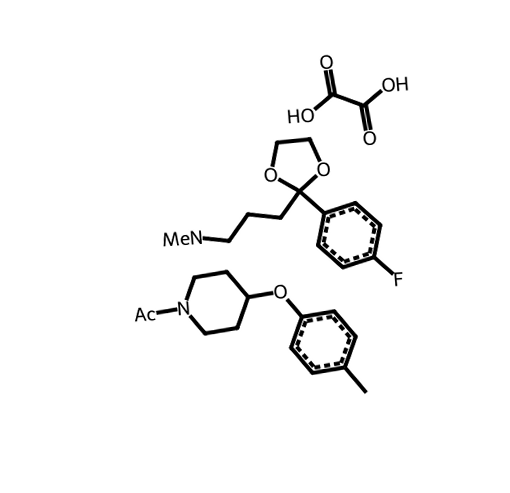 CC(=O)N1CCC(Oc2ccc(C)cc2)CC1.CNCCCC1(c2ccc(F)cc2)OCCO1.O=C(O)C(=O)O